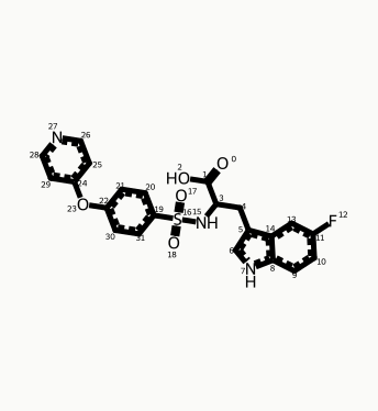 O=C(O)C(Cc1c[nH]c2ccc(F)cc12)NS(=O)(=O)c1ccc(Oc2ccncc2)cc1